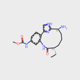 CC[C@H]1CCC[C@H](N)c2nc(c[nH]2)-c2ccc(NC(=O)OC)cc2NC1=O